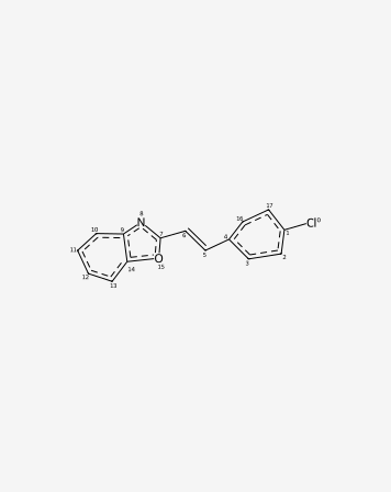 Clc1ccc(/C=C/c2nc3ccccc3o2)cc1